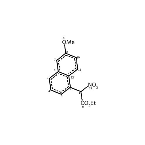 CCOC(=O)C(c1cccc2cc(OC)ccc12)[N+](=O)[O-]